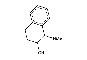 CNC1c2ccccc2CCC1O